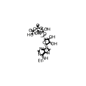 CCNc1ncnc2c1ncn2[C@@H]1O[C@H](COP(=O)(O)OP(=O)(O)OP(=O)(O)O)[C@@H](O)[C@H]1O